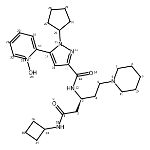 O=C(C[C@H](CCN1CCCCC1)NC(=O)c1cc(-c2cccc[n+]2O)n(C2CCCC2)n1)NC1CCC1